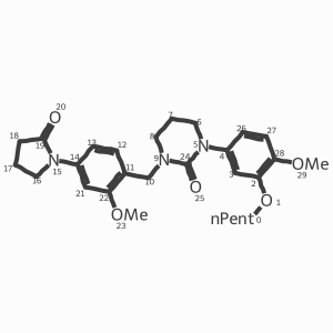 CCCCCOc1cc(N2CCCN(Cc3ccc(N4CCCC4=O)cc3OC)C2=O)ccc1OC